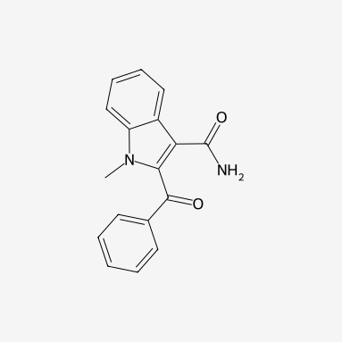 Cn1c(C(=O)c2ccccc2)c(C(N)=O)c2ccccc21